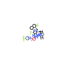 C#Cc1c(F)ccc2cccc(-c3nc(C#CC)c4c(N5C[C@H]6CC[C@@H](C5)N6)nc(O[C@@H](C)CN5CCC(F)(F)CC5)nc4c3F)c12